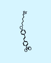 O=[N+]([O-])c1ccc(/C=C/c2ccc(OCCCCCCBr)cc2)cc1